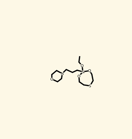 CCO[Si]1(CCCN2CCOCC2)OCCSCCO1